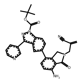 C=C(C#N)CN1Cc2c(-c3ccc4c(c3)c(-c3cccnc3)nn4C(=O)OC(C)(C)C)ccc(N)c2C1=O